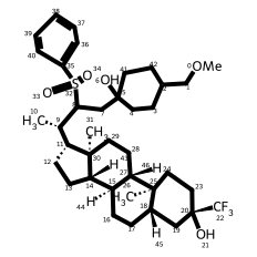 COCC1CCC(O)(CC([C@@H](C)[C@H]2CC[C@H]3[C@@H]4CC[C@H]5C[C@](O)(C(F)(F)F)CC[C@]5(C)[C@H]4CC[C@]23C)S(=O)(=O)c2ccccc2)CC1